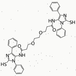 O=C(CCOCCOCCC(=O)Nc1c(-c2ccccc2)nc(S)n1-c1ccccc1)Nc1c(-c2ccccc2)nc(S)n1-c1ccccc1